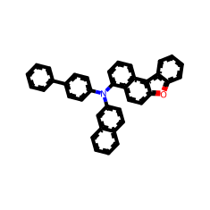 c1ccc(-c2ccc(N(c3ccc4ccccc4c3)c3cccc4c3ccc3oc5ccccc5c34)cc2)cc1